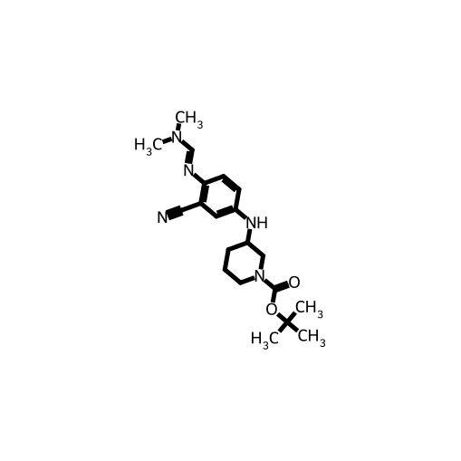 CN(C)C=Nc1ccc(NC2CCCN(C(=O)OC(C)(C)C)C2)cc1C#N